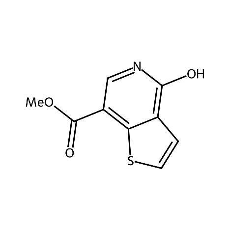 COC(=O)c1cnc(O)c2ccsc12